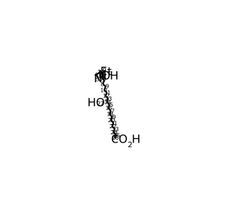 CC[N+]1(O)CCN=C1CCCCCCCCCCCCCCCCCCCC(=O)O.[OH-]